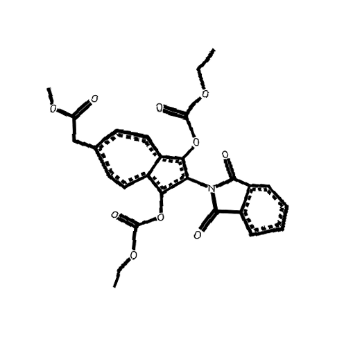 CCOC(=O)Oc1c2ccc(CC(=O)OC)ccc-2c(OC(=O)OCC)c1N1C(=O)c2ccccc2C1=O